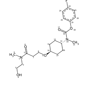 CN(CCO)C(=O)CCO[C@H]1CC[C@H](N(C)C(=O)Oc2ccc(F)cc2)CC1